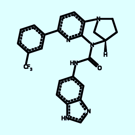 O=C(Nc1ccc2[nH]cnc2c1)N1c2nc(-c3cccc(C(F)(F)F)c3)ccc2N2CC[C@H]1C2